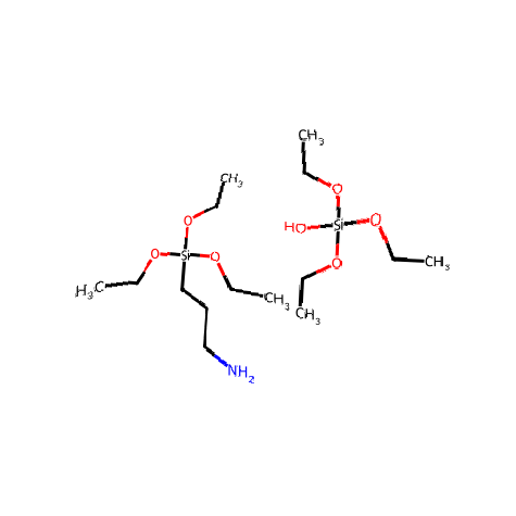 CCO[Si](CCCN)(OCC)OCC.CCO[Si](O)(OCC)OCC